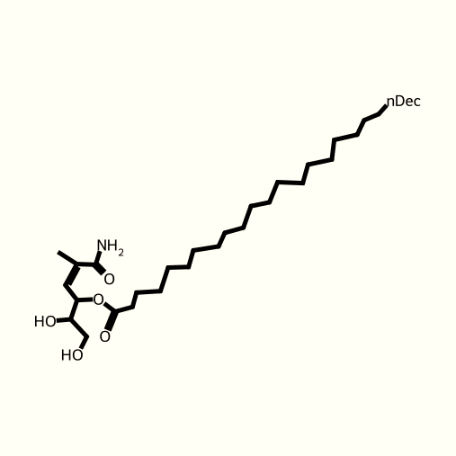 CCCCCCCCCCCCCCCCCCCCCCCCCCCCCC(=O)OC(C=C(C)C(N)=O)C(O)CO